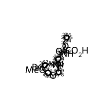 COc1ccc(Oc2cccc(-c3nc4cc(C(=O)NC(COCc5ccccc5)C(=O)O)ccc4n3CCc3ccc(Br)cc3)c2)cc1